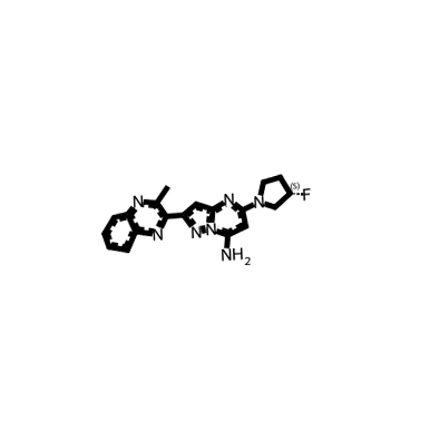 Cc1nc2ccccc2nc1-c1cc2nc(N3CC[C@H](F)C3)cc(N)n2n1